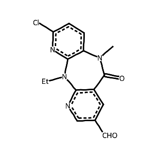 CCN1c2ncc(C=O)cc2C(=O)N(C)c2ccc(Cl)nc21